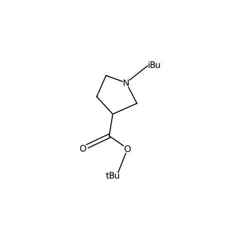 CCC(C)N1CCC(C(=O)OC(C)(C)C)C1